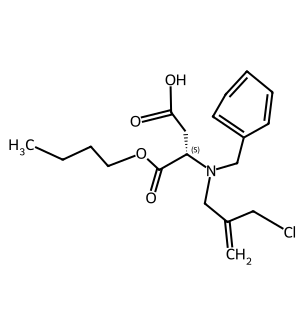 C=C(CCl)CN(Cc1ccccc1)[C@@H](CC(=O)O)C(=O)OCCCC